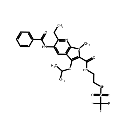 CCc1nc2c(cc1NC(=O)c1ccccc1)c(OC(C)C)c(C(=O)NCCNS(=O)(=O)C(F)(F)F)n2C